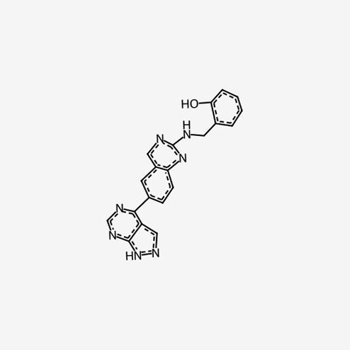 Oc1ccccc1CNc1ncc2cc(-c3ncnc4[nH]ncc34)ccc2n1